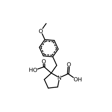 COc1ccc(CC2(C(=O)O)CCCN2C(=O)O)cc1